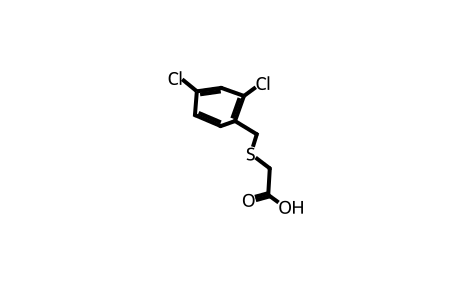 O=C(O)CSCc1ccc(Cl)cc1Cl